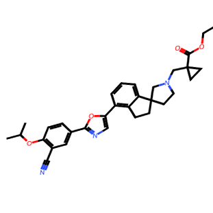 CCOC(=O)C1(CN2CCC3(CCc4c(-c5cnc(-c6ccc(OC(C)C)c(C#N)c6)o5)cccc43)C2)CC1